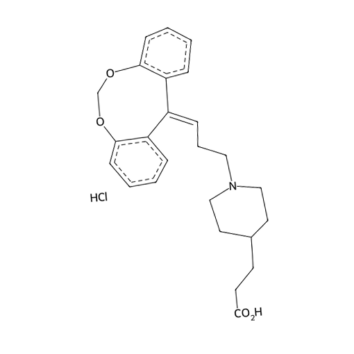 Cl.O=C(O)CCC1CCN(CCC=C2c3ccccc3OCOc3ccccc32)CC1